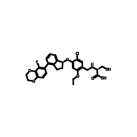 CCOc1cc(O[C@H]2CCc3c(-c4ccc5c(c4F)OCCO5)cccc32)c(Cl)cc1CN[C@@H](CO)C(=O)O